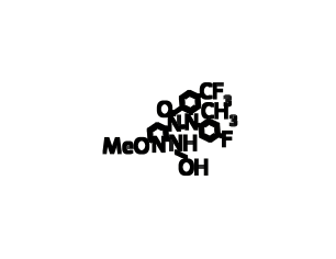 COc1ccc(N2CN(c3ccc(F)cc3C)c3cc(C(F)(F)F)ccc3C2=O)c(NCCO)n1